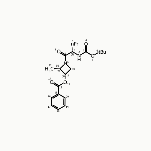 CCC[C@H](NC(=O)OC(C)(C)C)C(=O)N1C[C@H](OC(=O)c2ccccc2)[C@H]1C